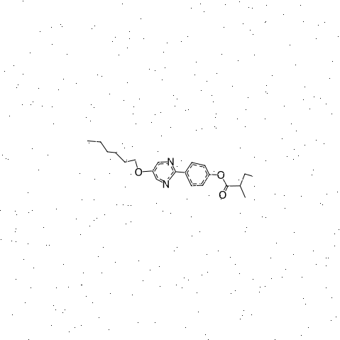 CCCCCCOc1cnc(-c2ccc(OC(=O)C(C)CC)cc2)nc1